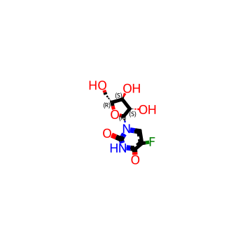 O=c1[nH]c(=O)n([C@@H]2O[C@H](CO)[C@@H](O)[C@@H]2O)cc1F